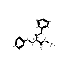 COC(=O)[C@H](CSc1ccccc1)NCc1ccccc1